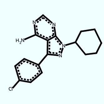 Nc1ncnc2c1c(-c1ccc(Cl)cc1)nn2C1CCCCC1